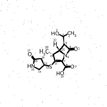 CC(O)[C@H]1C(=O)N2C(C(=O)O)=C(SC3CNC(=O)C3)[C@H](C)[C@H]12